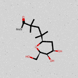 CNC(=O)C(C)(C)CC(C)(C)[C@H]1C[C@@H](O)[C@@H](O)[C@@H](CO)O1